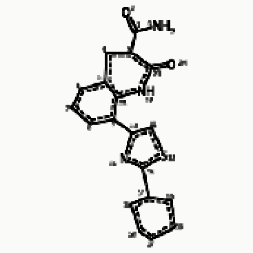 NC(=O)c1cc2cccc(-c3csc(-c4ccccc4)n3)c2[nH]c1=O